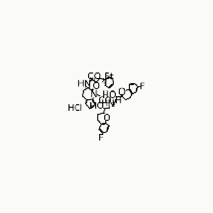 CCOC(=O)[C@H](CCc1ccccc1)N[C@H]1CCc2ccccc2N(CC(=O)O)C1=O.Cl.OC(CNCC(O)C1CCc2cc(F)ccc2O1)C1CCc2cc(F)ccc2O1